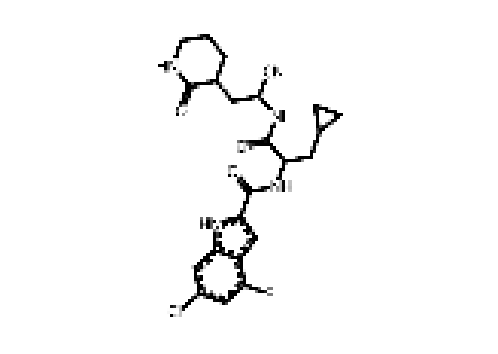 N#CC(CC1CCCNC1=O)NC(=O)C(CC1CC1)NC(=O)c1cc2c(F)cc(Cl)cc2[nH]1